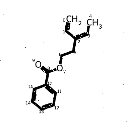 C=C/C(=C\C)CCOC(=O)c1ccccc1